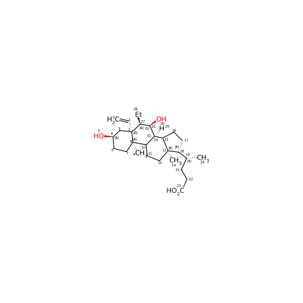 C=C[C@@]12C[C@H](O)CC[C@]1(C)C1CC[C@@]3(C)C(CC[C@@H]3[C@H](C)CCC(=O)O)[C@@H]1[C@H](O)[C@@H]2CC